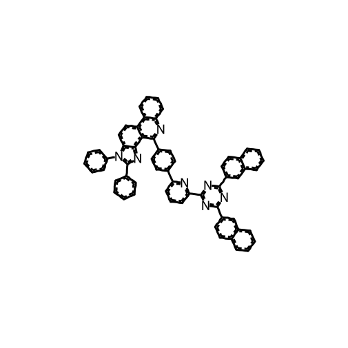 c1ccc(-c2nc3c4c(-c5ccc(-c6cccc(-c7nc(-c8ccc9ccccc9c8)nc(-c8ccc9ccccc9c8)n7)n6)cc5)nc5ccccc5c4ccc3n2-c2ccccc2)cc1